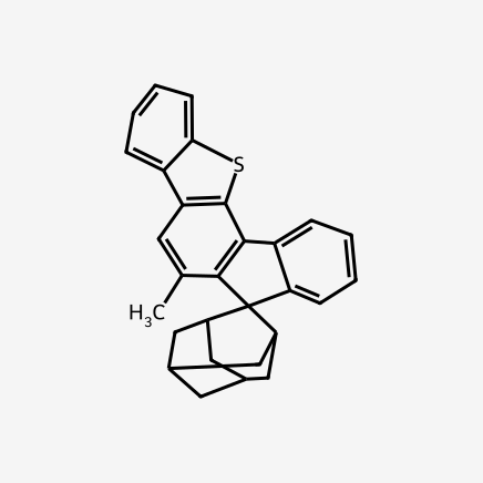 Cc1cc2c(sc3ccccc32)c2c1C1(c3ccccc3-2)C2CC3CC(C2)CC1C3